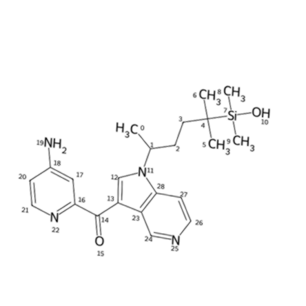 CC(CCC(C)(C)[Si](C)(C)O)n1cc(C(=O)c2cc(N)ccn2)c2cnccc21